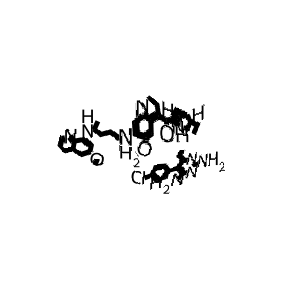 C=C[C@@H]1CN2CCC1C[C@@H]2C(O)c1ccnc2ccc(OC)cc12.CCc1nc(N)nc(N)c1-c1ccc(Cl)cc1.COc1cc(NC(C)CCCN)c2ncccc2c1